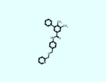 Cc1cc(C(=O)Nc2ccc(COCc3ccccn3)cc2)cc(-c2ccccc2)c1C